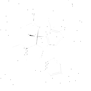 COC(=O)C(OCc1ccccc1)[C@](C)(N[S+](C)[O-])c1ccccc1F